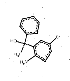 CC(O)(c1ccccc1)c1cc(Br)ccc1N